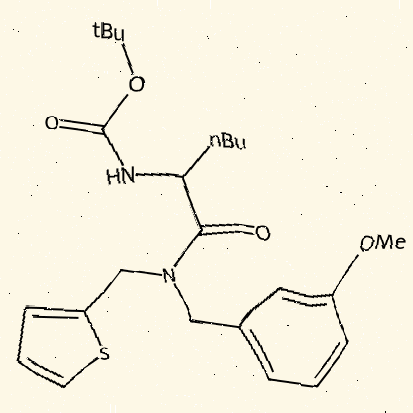 CCCCC(NC(=O)OC(C)(C)C)C(=O)N(Cc1cccc(OC)c1)Cc1cccs1